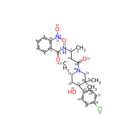 CC(NC(=O)c1ccccc1[N+](=O)[O-])[C@@H](C)C(=O)N1CC[C@](O)(c2ccc(Cl)cc2)C(C)(C)C1